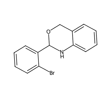 Brc1ccccc1C1Nc2ccccc2CO1